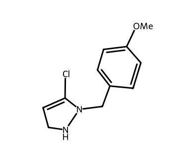 COc1ccc(CN2NCC=C2Cl)cc1